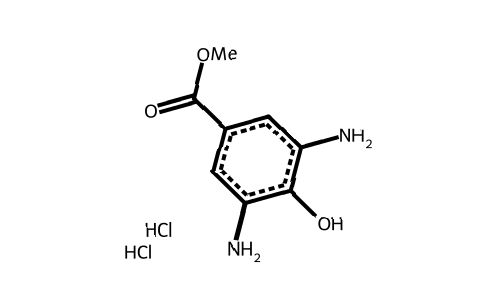 COC(=O)c1cc(N)c(O)c(N)c1.Cl.Cl